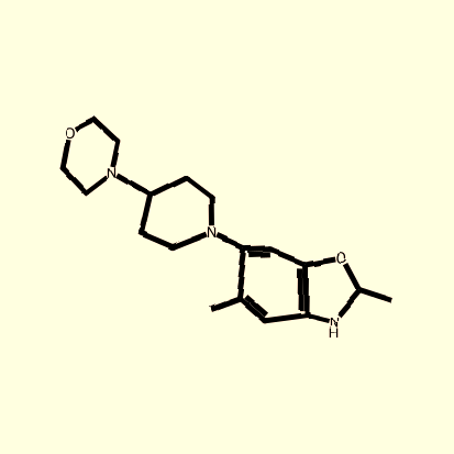 Cc1cc2c(cc1N1CCC(N3CCOCC3)CC1)OC(C)N2